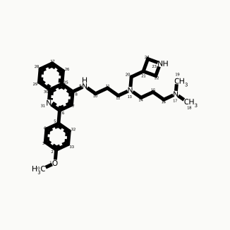 COc1ccc(-c2cc(NCCCN(CCCN(C)C)CC3CNC3)c3ccccc3n2)cc1